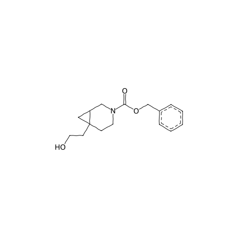 O=C(OCc1ccccc1)N1CCC2(CCO)CC2C1